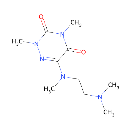 CN(C)CCN(C)c1nn(C)c(=O)n(C)c1=O